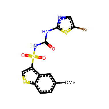 COc1ccc2scc(S(=O)(=O)NC(=O)Nc3ncc(Br)s3)c2c1